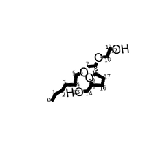 CCCCCCOCCOCCO.OCC1CCCO1